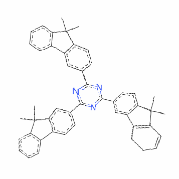 CC1(C)C2=C(CCC=C2)c2cc(-c3nc(-c4ccc5c(c4)-c4ccccc4C5(C)C)nc(-c4ccc5c(c4)C(C)(C)c4ccccc4-5)n3)ccc21